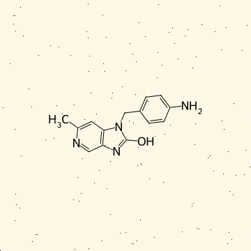 Cc1cc2c(cn1)nc(O)n2Cc1ccc(N)cc1